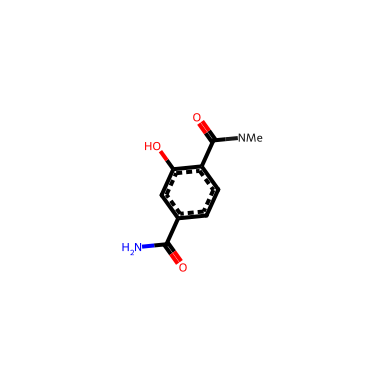 CNC(=O)c1ccc(C(N)=O)cc1O